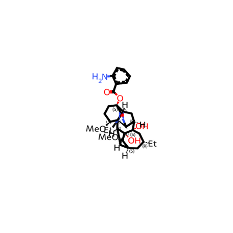 CC[C@@H]1C[C@H]2C[C@H]3[C@@]45C6[C@@H](C[C@@H]4[C@@](OC(=O)c4ccccc4N)(CC[C@@H]5OC)CN6CC)[C@@](O)(C1)[C@@]3(O)[C@H]2OC